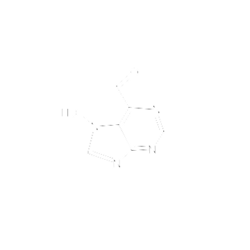 Cn1cnc2ncnc(C=O)c21